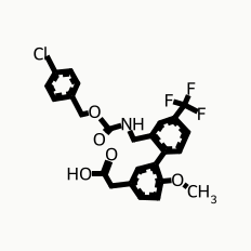 COc1ccc(CC(=O)O)cc1-c1ccc(C(F)(F)F)cc1CNC(=O)OCc1ccc(Cl)cc1